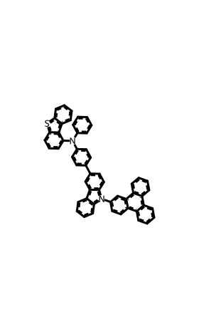 c1ccc(N(c2ccc(-c3ccc4c(c3)c3ccccc3n4-c3ccc4c5ccccc5c5ccccc5c4c3)cc2)c2cccc3sc4ccccc4c23)cc1